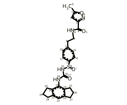 Cc1cc(C(=O)NCCc2ccc([S+]([O-])NC(=O)Nc3c4c(cc5c3CCC5)CCC4)cc2)no1